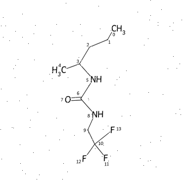 CCCC(C)NC(=O)NCC(F)(F)F